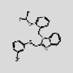 FC(F)Oc1ccccc1Cn1c(CSc2cccc(Br)c2)nc2ccccc21